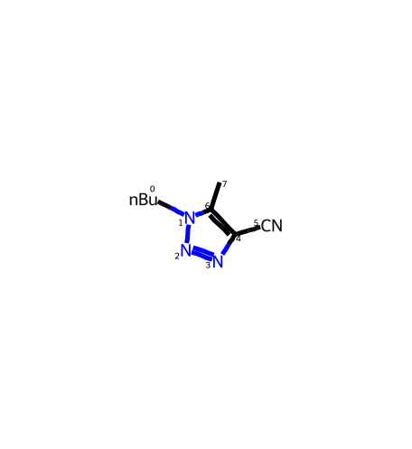 CCCCn1nnc(C#N)c1C